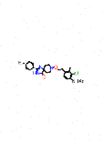 CC[C@H]1CC[C@H](C2=NC3(CCN(OCCc4ccc(NC(C)=O)c(Cl)c4C)CC3)C(=O)N2)CC1